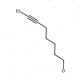 CCC#CCCCCC[O]